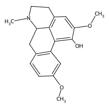 COc1ccc2c(c1)-c1c(O)c(OC)cc3c1C(C2)N(C)CC3